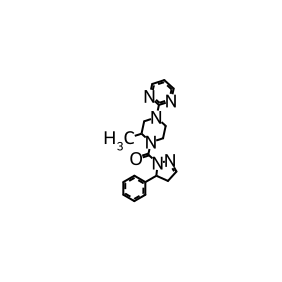 CC1CN(c2ncccn2)CCN1C(=O)N1N=CCC1c1ccccc1